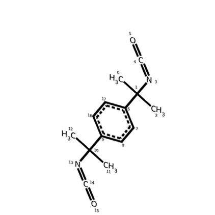 CC(C)(N=C=O)c1ccc(C(C)(C)N=C=O)cc1